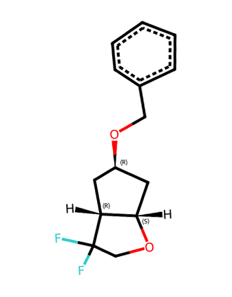 FC1(F)CO[C@H]2C[C@H](OCc3ccccc3)C[C@H]21